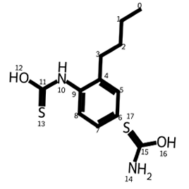 CCCCc1ccccc1NC(O)=S.NC(O)=S